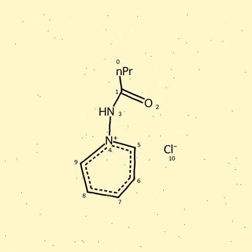 CCCC(=O)N[n+]1ccccc1.[Cl-]